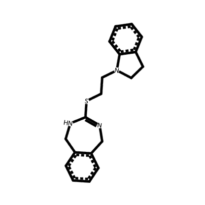 c1ccc2c(c1)CN=C(SCCN1CCc3ccccc31)NC2